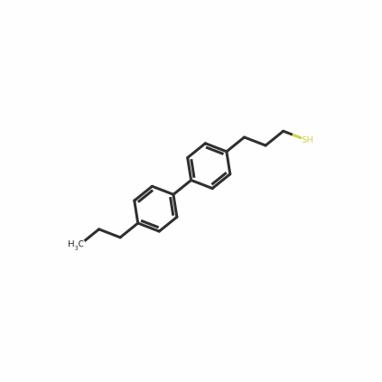 CCCc1ccc(-c2ccc(CCCS)cc2)cc1